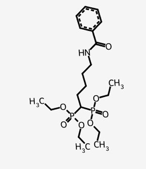 CCOP(=O)(OCC)C(CCCCNC(=O)c1ccccc1)P(=O)(OCC)OCC